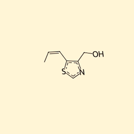 C/C=C\c1scnc1CO